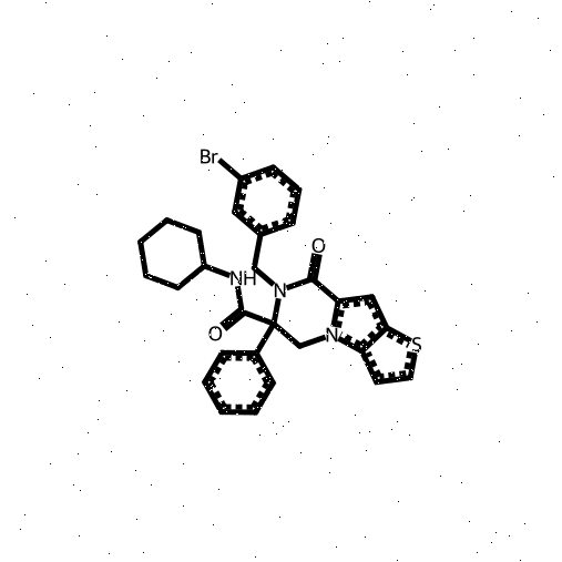 O=C1c2cc3sccc3n2CC(C(=O)NC2CCCCC2)(c2ccccc2)N1Cc1cccc(Br)c1